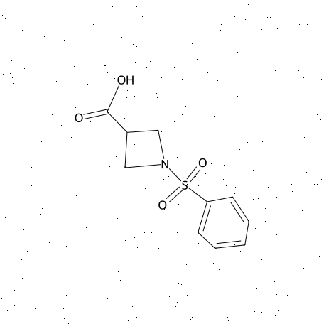 O=C(O)C1CN(S(=O)(=O)c2ccccc2)C1